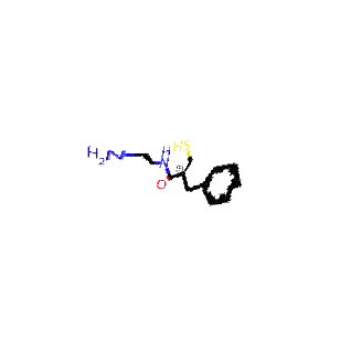 NCCNC(=O)[C@@H](CS)Cc1ccccc1